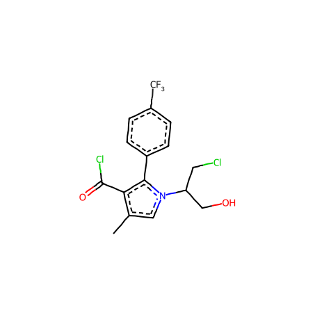 Cc1cn(C(CO)CCl)c(-c2ccc(C(F)(F)F)cc2)c1C(=O)Cl